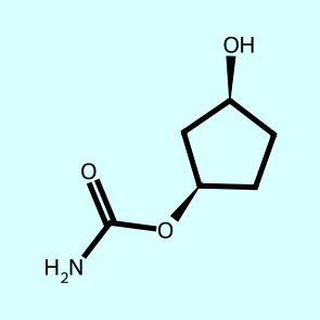 NC(=O)O[C@@H]1CC[C@H](O)C1